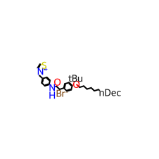 CCCCCCCCCCCCCCCCOc1ccc(CC(=O)Nc2ccc(C[n+]3ccsc3)cc2)cc1C(C)(C)C.[Br-]